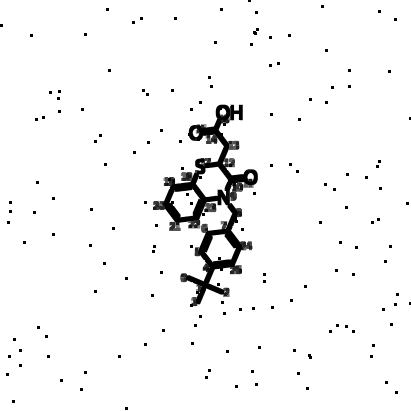 CC(C)(C)c1ccc(CN2C(=O)C(CC(=O)O)Sc3ccccc32)cc1